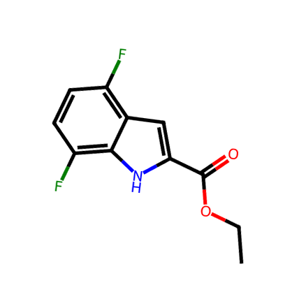 CCOC(=O)c1cc2c(F)ccc(F)c2[nH]1